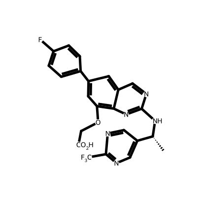 C[C@@H](Nc1ncc2cc(-c3ccc(F)cc3)cc(OCC(=O)O)c2n1)c1cnc(C(F)(F)F)nc1